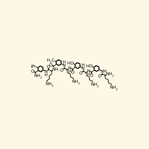 Cc1ccc(NC(=O)[C@H](CCCCN)NC(=O)c2cc(NC(=O)[C@H](CCCCN)NC(=O)c3cc(NC(=O)[C@@H](N)CCCCN)ccc3O)ccc2O)cc1C(=O)N[C@@H](CCCCN)C(=O)Nc1ccc(C(C)C)c(C(N)=O)c1